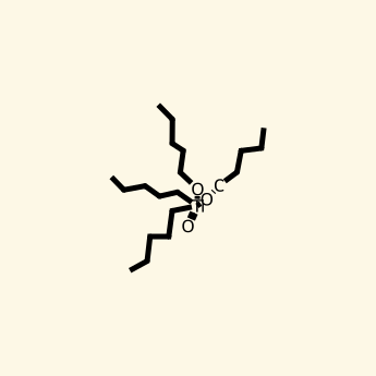 CCCCC[O][Ti](=[O])([CH2]CCCC)([CH2]CCCC)[O]CCCCC